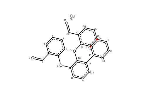 O=Cc1ccccc1Oc1ccnc(-c2ccccn2)c1Oc1ccccc1C=O.[Cu]